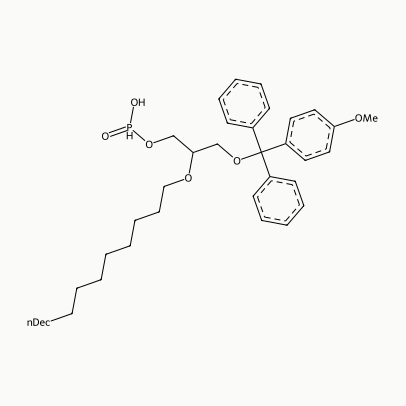 CCCCCCCCCCCCCCCCCCOC(CO[PH](=O)O)COC(c1ccccc1)(c1ccccc1)c1ccc(OC)cc1